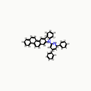 c1ccc(-c2cc(-c3ccccc3)nc(-n3c4ccccc4c4cc5c(ccc6c7ccccc7ccc56)cc43)c2)cc1